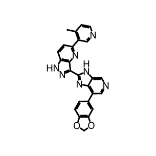 Cc1ccncc1-c1ccc2[nH]nc(-c3nc4c(-c5ccc6c(c5)OCO6)cncc4[nH]3)c2n1